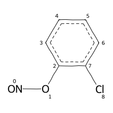 O=NOc1ccccc1Cl